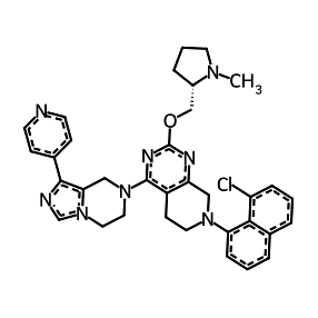 CN1CCC[C@H]1COc1nc2c(c(N3CCn4cnc(-c5ccncc5)c4C3)n1)CCN(c1cccc3cccc(Cl)c13)C2